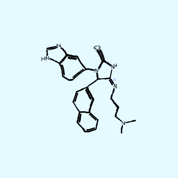 CN(C)CCC/N=C1/NC(=O)N(c2ccc3[nH]cnc3c2)C1c1ccc2ccccc2c1